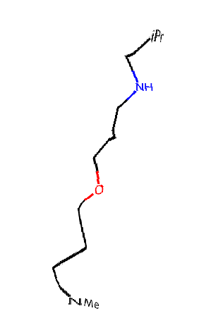 CNCCCOCCCNCC(C)C